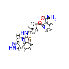 Cc1n[nH]cc1-c1cccc2sc(NC3CC4(C3)CC(Oc3ncccc3C(N)=O)C4)nc12